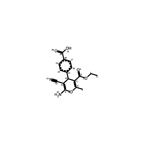 CCOC(=O)C1=C(C)OC(N)=C(C#N)C1c1ccc(C(=O)O)cc1